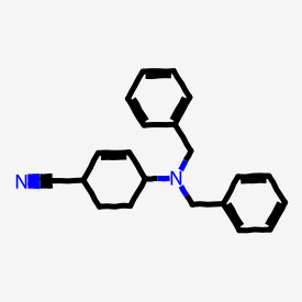 N#CC1C=CC(N(Cc2ccccc2)Cc2ccccc2)CC1